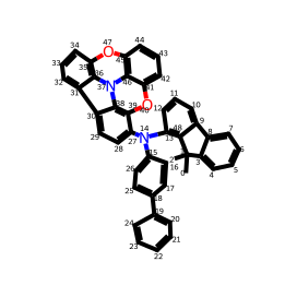 CC1(C)c2ccccc2-c2cccc(N(c3ccc(-c4ccccc4)cc3)c3ccc4c5cccc6c5n5c4c3Oc3cccc(c3-5)O6)c21